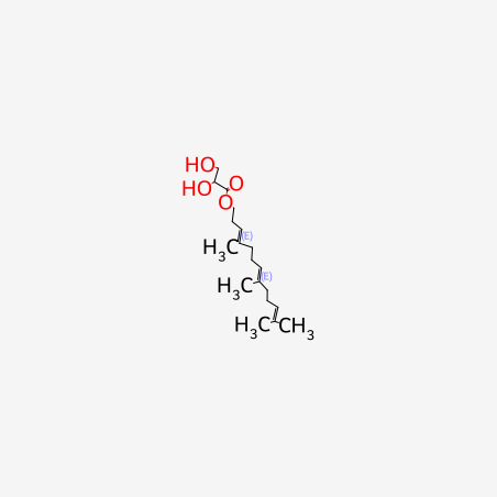 CC(C)=CCC/C(C)=C/CC/C(C)=C/CCOC(=O)C(O)CO